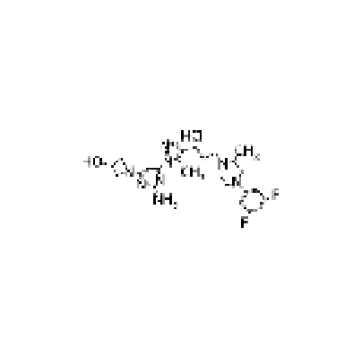 Cc1c(C=CCN2CCN(c3cc(F)cc(F)c3)C[C@@H]2C)cnn1-c1cc(N2CC(O)C2)nc(N)n1.Cl